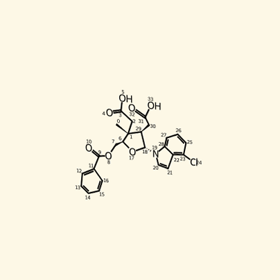 C[C@]1(CC(=O)O)[C@H](COC(=O)c2ccccc2)O[C@@H](n2ccc3c(Cl)cccc32)[C@@H]1CC(=O)O